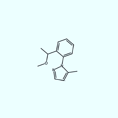 COC(C)c1ccccc1-n1nc[c]c1C